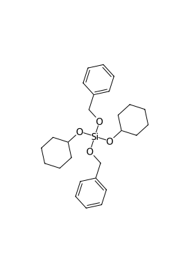 c1ccc(CO[Si](OCc2ccccc2)(OC2CCCCC2)OC2CCCCC2)cc1